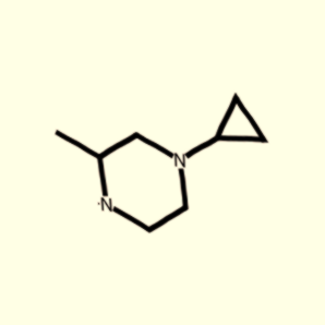 CC1CN(C2CC2)CC[N]1